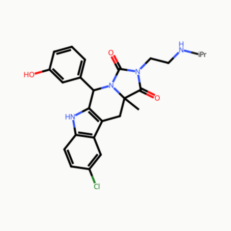 CC(C)NCCN1C(=O)N2C(c3cccc(O)c3)c3[nH]c4ccc(Cl)cc4c3CC2(C)C1=O